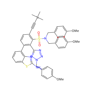 COc1ccc(CN(Cc2ccc(OC)cc2)S(=O)(=O)c2c(C#C[Si](C)(C)C)ccc(-c3cccc4sc(N)nc34)c2-c2nnn(Cc3ccc(OC)cc3)n2)cc1